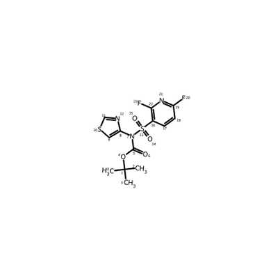 CC(C)(C)OC(=O)N(c1cscn1)S(=O)(=O)c1ccc(F)nc1F